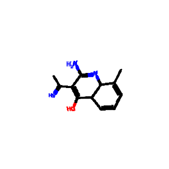 CC(=N)C1=C(O)C2C=CC=C(C)C2N=C1N